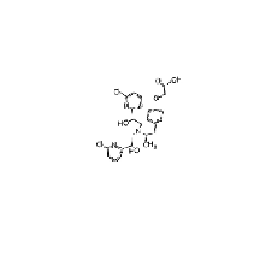 C[C@H](Cc1ccc(OCC(=O)O)cc1)N(CC(O)c1cccc(Cl)n1)CC(O)c1cccc(Cl)n1